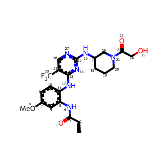 C=CC(=O)Nc1cc(OC)ccc1Nc1nc(NC2CCCN(C(=O)CO)C2)ncc1C(F)(F)F